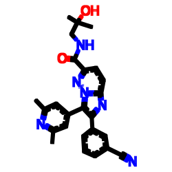 Cc1cc(-c2c(-c3cccc(C#N)c3)nc3ccc(C(=O)NCC(C)(C)O)nn23)cc(C)n1